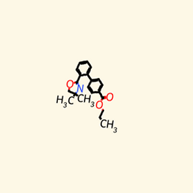 CCCOC(=O)c1ccc(-c2ccccc2C2=NC(C)(C)CO2)cc1